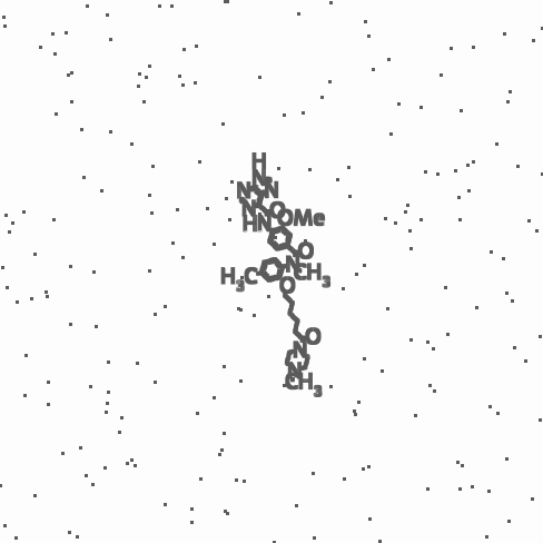 COc1cc(C(=O)N(C)c2ccc(C)cc2OCCCCCC(=O)N2CCN(C)CC2)ccc1NC(=O)c1ncnc2[nH]cnc12